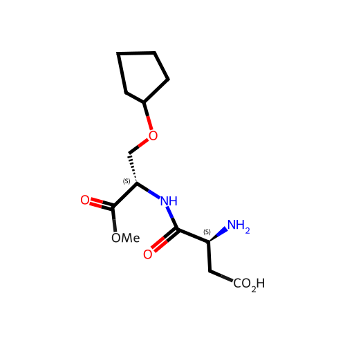 COC(=O)[C@H](COC1CCCC1)NC(=O)[C@@H](N)CC(=O)O